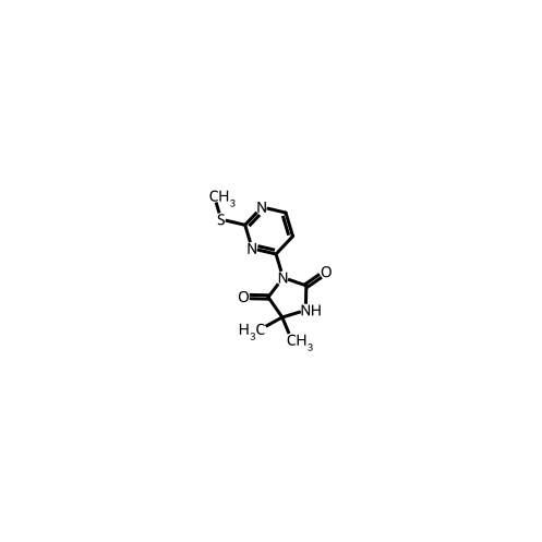 CSc1nccc(N2C(=O)NC(C)(C)C2=O)n1